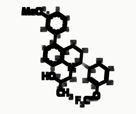 COc1cccc(-c2cccc3c2CC[C@H](C2C=C(OC(F)(F)F)C=CC2)N3C[C@@H](C)O)c1